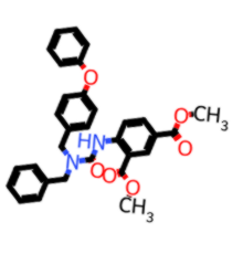 COC(=O)c1ccc(NC(=O)N(Cc2ccccc2)Cc2ccc(Oc3ccccc3)cc2)c(C(=O)OC)c1